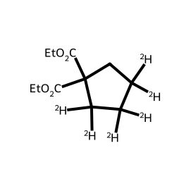 [2H]C1([2H])CC(C(=O)OCC)(C(=O)OCC)C([2H])([2H])C1([2H])[2H]